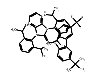 CC(C)c1cccc(C(C)C)c1-n1c(=Nn2c3ccc(C(C)(C)C)cc3c3cc(C(F)(F)F)ccc32)n(-c2c(C(C)C)cccc2C(C)C)c2nccnc21